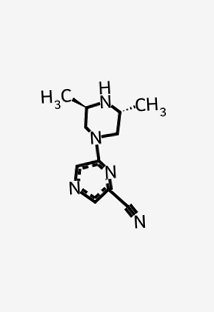 C[C@@H]1CN(c2cncc(C#N)n2)C[C@@H](C)N1